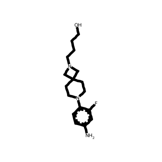 Nc1ccc(N2CCC3(CC2)CN(CCCCO)C3)c(F)c1